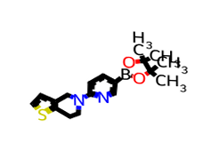 CC1(C)OB(c2ccc(N3CCc4sccc4C3)nc2)OC1(C)C